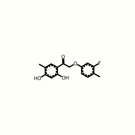 Cc1cc(C(=O)COc2ccc(C)c(F)c2)c(O)cc1O